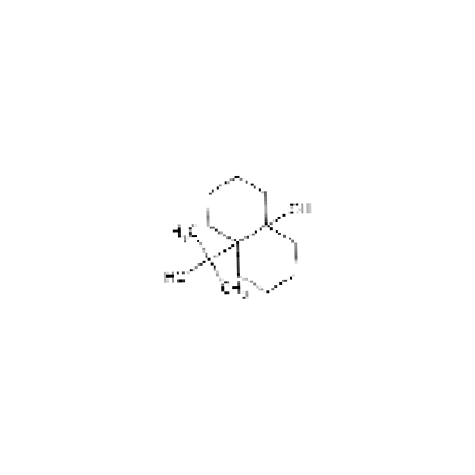 CC(C)(O)C12CCCCC1(O)CCCC2